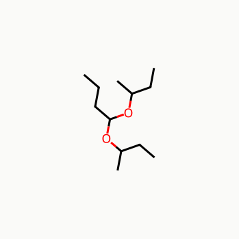 CCCC(OC(C)CC)OC(C)CC